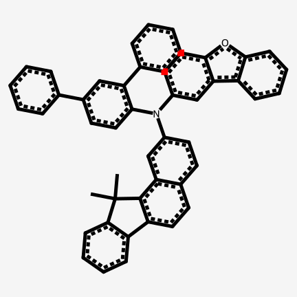 CC1(C)c2ccccc2-c2ccc3ccc(N(c4ccc5oc6ccccc6c5c4)c4ccc(-c5ccccc5)cc4-c4ccccc4)cc3c21